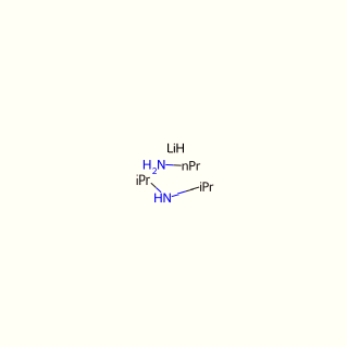 CC(C)NC(C)C.CCCN.[LiH]